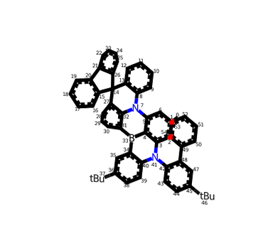 Cc1cc2c3c(c1)N1c4ccccc4C4(c5ccccc5-c5ccccc54)c4cccc(c41)B3c1cc(C(C)(C)C)ccc1N2c1ccc(C(C)(C)C)cc1-c1ccccc1